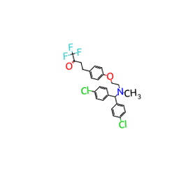 CN(CCOc1ccc(CCC(=O)C(F)(F)F)cc1)C(c1ccc(Cl)cc1)c1ccc(Cl)cc1